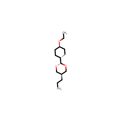 CCC[C@H]1CO[C@H]([C@H]2CC[C@H](OCC)CC2)OC1